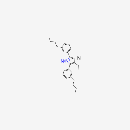 CCCCc1cccc(C2=CC(CC)=C(c3cccc(CCCC)c3)[N+]2=[N-])c1.[Ni]